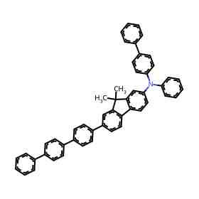 CC1(C)c2cc(-c3ccc(-c4ccc(-c5ccccc5)cc4)cc3)ccc2-c2ccc(N(c3ccccc3)c3ccc(-c4ccccc4)cc3)cc21